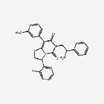 COc1cccc(-c2c3n(c(=O)n(CC(N)c4ccccc4)c2=O)C(c2ccccc2F)CS3)c1